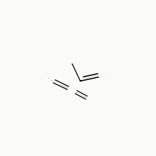 C=CC.N=C=O